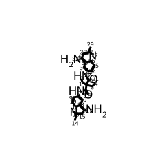 CCC(CC)(C(=O)Nc1ccc2nc(C)cc(N)c2c1)C(=O)Nc1ccc2nc(C)cc(N)c2c1